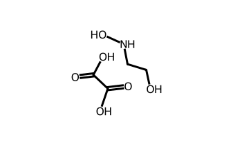 O=C(O)C(=O)O.OCCNO